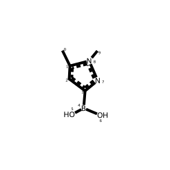 Cc1cc(B(O)O)nn1C